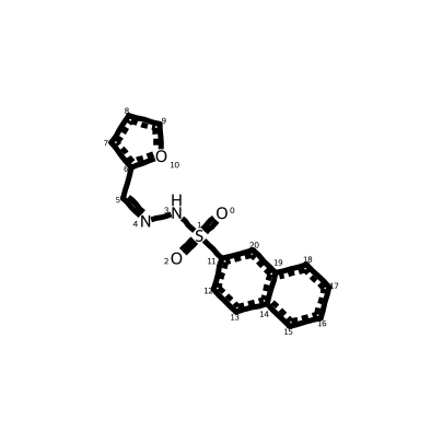 O=S(=O)(N/N=C\c1ccco1)c1ccc2ccccc2c1